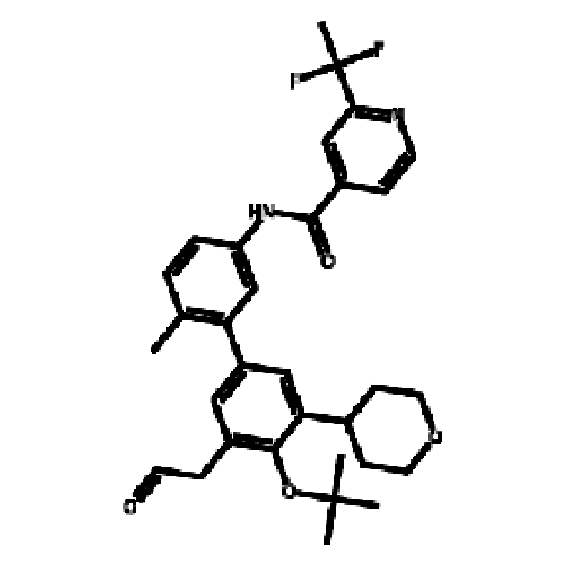 Cc1ccc(NC(=O)c2ccnc(C(C)(F)F)c2)cc1-c1cc(CC=O)c(OC(C)(C)C)c(C2CCOCC2)c1